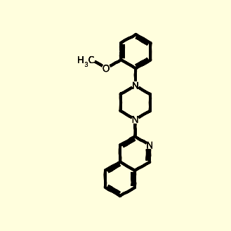 COc1ccccc1N1CCN(c2cc3ccccc3cn2)CC1